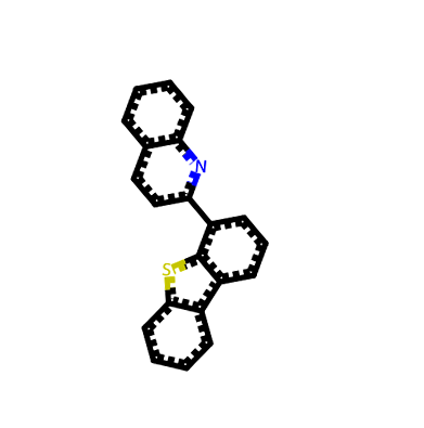 c1ccc2nc(-c3cccc4c3sc3ccccc34)ccc2c1